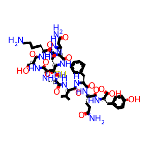 CC(C)[C@H](NC(=O)[C@H](C)NC(=O)[C@H](Cc1c[nH]cn1)NC(=O)[C@H](CCC(N)=O)NC(=O)[C@H](CCCCN)NC(=O)[C@H](CO)NC(=O)[C@@H](N)CS)C(=O)N[C@@H](Cc1ccccc1)C(=O)N[C@@H](CCC(N)=O)C(=O)N[C@@H](Cc1ccc(O)cc1)C(=O)O